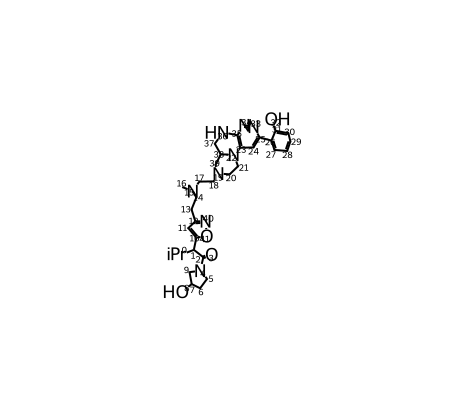 CC(C)C(C(=O)N1CCC(O)C1)c1cc(CCN(C)CCN2CCN3c4cc(-c5ccccc5O)nnc4NCC3C2)no1